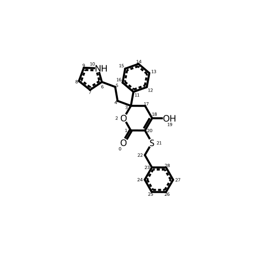 O=C1OC(CCc2ccc[nH]2)(c2ccccc2)CC(O)=C1SCc1ccccc1